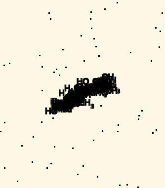 CC[C@H](C)[C@H](C[C@H](O)CC(=O)O[C@@H]1C(C)O[C@@H](OC(=O)[C@]23CCC(C)(C)CC2C2=CCC4[C@@]5(C)CC[C@H](O[C@@H]6OC(C(=O)O)[C@H](O)C(O[C@@H]7OC[C@@H](O)C(O)C7O)C6OC(O)OC(CO)[C@@H](C)O)[C@@](C)(C=O)C5CC[C@@]4(C)[C@]2(C)C[C@H]3O)C(O[C@@H]2OC(C)[C@H](O[C@H]3OCC(O)[C@H](O)C3O)C(O)C2O)C1O)OC(=O)C[C@@H](O)C[C@H](OC1(O)CO[C@@H](CO)C1O)[C@@H](C)CC